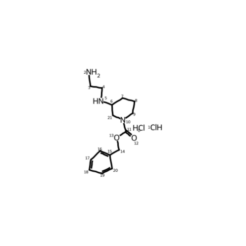 Cl.Cl.NCCNC1CCCN(C(=O)OCc2ccccc2)C1